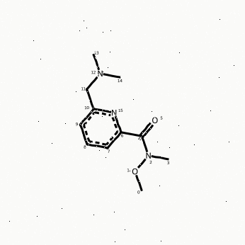 CON(C)C(=O)c1cccc(CN(C)C)n1